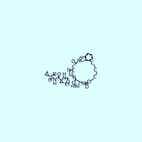 CCCC[C@@H]1NC(=O)OCCCCCCc2cccc3c2CN(C3)C(=O)C[C@@H]2C[C@@H](C(=O)N[C@]3(C(=O)NS(=O)(=O)C4CC4)C[C@H]3CC)N(C2)C1=O